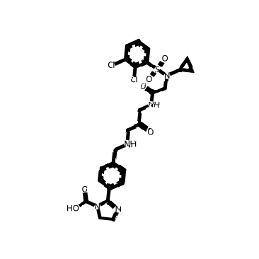 O=C(CNCc1ccc(C2=NCCN2C(=O)O)cc1)CNC(=O)CN(C1CC1)S(=O)(=O)c1cccc(Cl)c1Cl